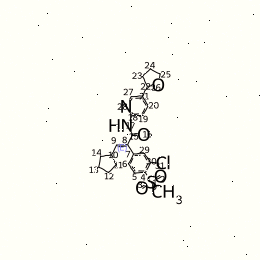 CS(=O)(=O)c1ccc(/C(=C\C2CCCC2)C(=O)Nc2ccc(C3CCCO3)cn2)cc1Cl